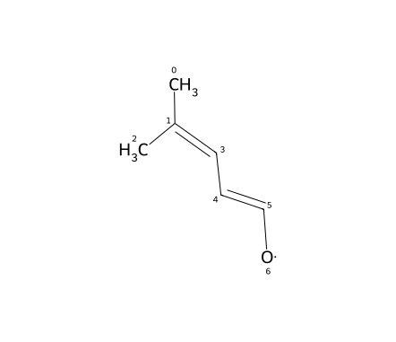 CC(C)=CC=C[O]